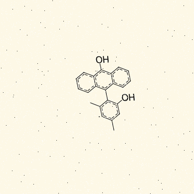 Cc1[c]c(C)c(-c2c3ccccc3c(O)c3ccccc23)c(O)c1